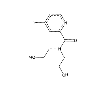 O=C(c1cc(I)ccn1)N(CCO)CCO